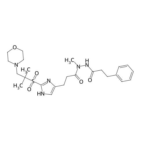 CN(NC(=O)CCc1ccccc1)C(=O)CCc1c[nH]c(S(=O)(=O)C(C)(C)CN2CCOCC2)n1